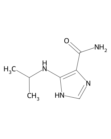 CC(C)Nc1[nH]cnc1C(N)=O